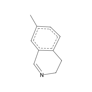 Cc1ccc2c(c1)C=NCC2